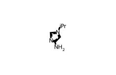 CC(C)n1cnc(N)c1